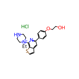 CC[N+]1(c2nc(-c3ccc(OCCO)cc3)cc3ccsc23)CCNCC1.Cl